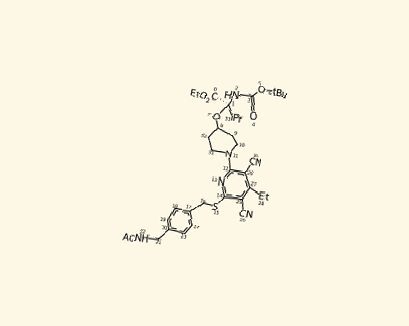 CCOC(=O)[C@@](NC(=O)OC(C)(C)C)(OC1CCN(c2nc(SCc3ccc(CNC(C)=O)cc3)c(C#N)c(CC)c2C#N)CC1)C(C)C